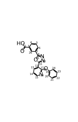 O=C(O)c1cccc(-c2nnc(-c3cccnc3Oc3ccccc3)o2)c1